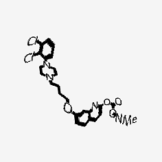 CNOC(=O)Oc1ccc2ccc(OCCCCN3CCN(c4cccc(Cl)c4Cl)CC3)cc2n1